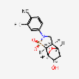 N#Cc1ccc(N2C[C@@H]3[C@@H]([C@H]4O[C@@H]3C[C@@H]4O)S2(=O)=O)cc1C(F)(F)F